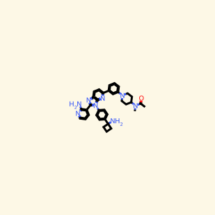 CC(=O)N(C)C1CCN(c2cccc(-c3ccc4nc(-c5cccnc5N)n(-c5ccc(C6(N)CCC6)cc5)c4n3)c2)CC1